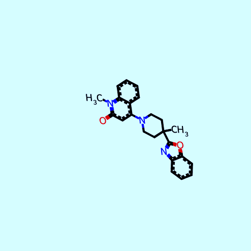 Cn1c(=O)cc(N2CCC(C)(c3nc4ccccc4o3)CC2)c2ccccc21